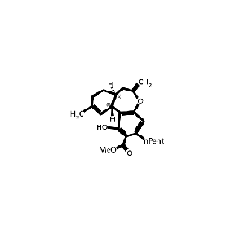 C=C1C[C@@H]2CCC(C)=C[C@H]2c2c(cc(CCCCC)c(C(=O)OC)c2O)O1